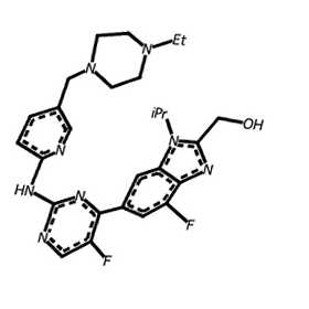 CCN1CCN(Cc2ccc(Nc3ncc(F)c(-c4cc(F)c5nc(CO)n(C(C)C)c5c4)n3)nc2)CC1